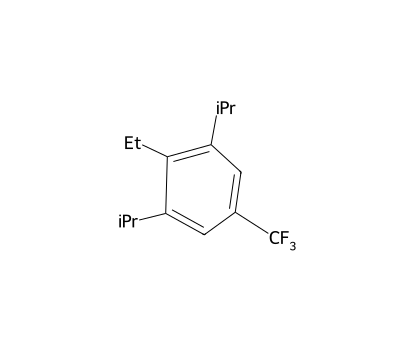 CCc1c(C(C)C)cc(C(F)(F)F)cc1C(C)C